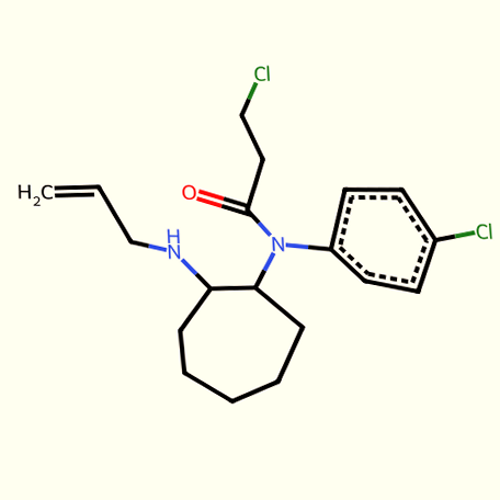 C=CCNC1CCCCCC1N(C(=O)CCCl)c1ccc(Cl)cc1